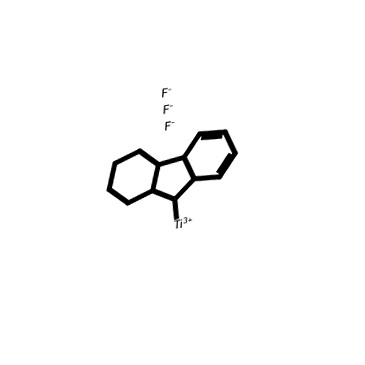 [F-].[F-].[F-].[Ti+3][CH]1C2C=CC=CC2C2CCCCC12